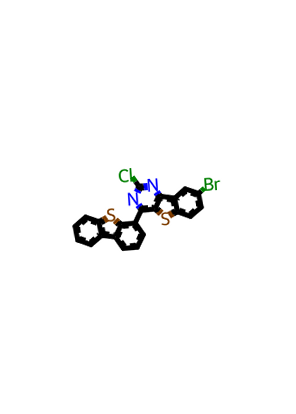 Clc1nc(-c2cccc3c2sc2ccccc23)c2sc3ccc(Br)cc3c2n1